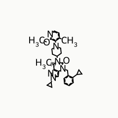 COc1nccc(C)c1N1CCC(N2C(=O)N(Cc3ccccc3C3CC3)c3cn(C4CC4)nc3[C@H]2C)CC1